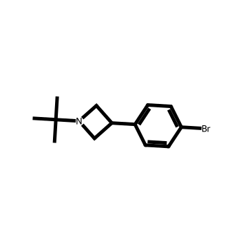 CC(C)(C)N1CC(c2ccc(Br)cc2)C1